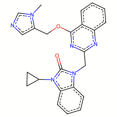 Cn1cncc1COc1nc(Cn2c(=O)n(C3CC3)c3ccccc32)nc2ccccc12